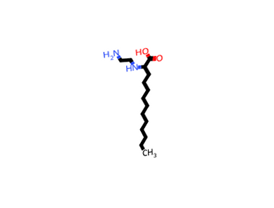 CCCCCCCCCCCC(NCCN)C(=O)O